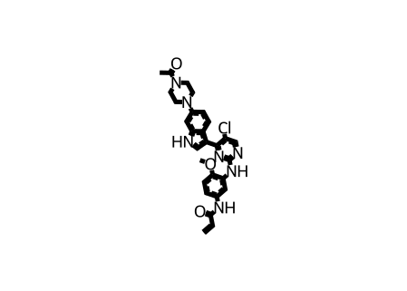 C=CC(=O)Nc1ccc(OC)c(Nc2ncc(Cl)c(-c3c[nH]c4cc(N5CCN(C(C)=O)CC5)ccc34)n2)c1